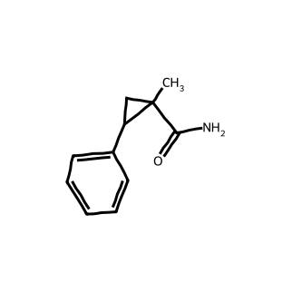 CC1(C(N)=O)CC1c1ccccc1